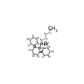 CCCCCP(Br)(c1ccccc1)(c1ccccc1)c1ccccc1